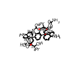 CC(C)[C@H](O)C(=O)O[C@]12c3nc4cc(ccc4[nH]3)C1(c1ccc(C34CCN(OC(N)=O)[C@@]3(OC(=O)[C@@H](OC(N)=O)C(C)C)c3nc5cc4ccc5[nH]3)c(C(C)(C)C)c1C(C)(C)C)CCN2O